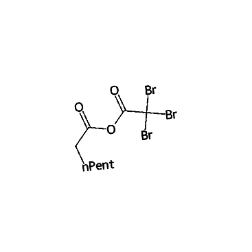 CCCCCCC(=O)OC(=O)C(Br)(Br)Br